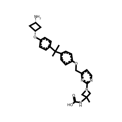 CC1(NC(=O)O)CN(c2nccc(COc3ccc(C(C)(C)c4ccc(O[C@H]5C[C@@H](N)C5)cc4)cc3)n2)C1